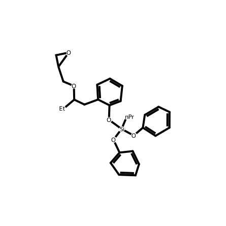 CCC[Si](Oc1ccccc1)(Oc1ccccc1)Oc1ccccc1CC(CC)OCC1CO1